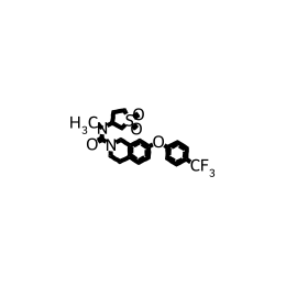 CN(C(=O)N1CCc2ccc(Oc3ccc(C(F)(F)F)cc3)cc2C1)C1CCS(=O)(=O)C1